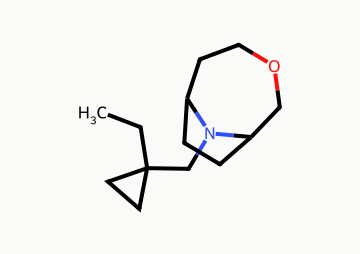 CCC1(CN2C3CCOCC2CC3)CC1